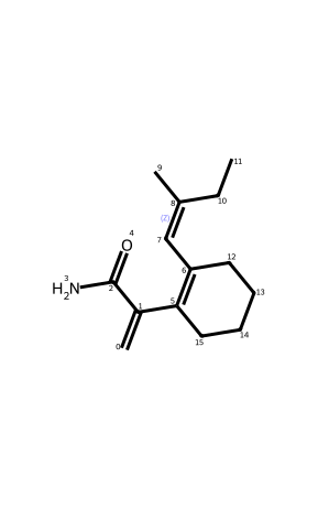 C=C(C(N)=O)C1=C(/C=C(/C)CC)CCCC1